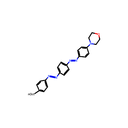 CCCCCCCCc1ccc(N=Nc2ccc(N=Nc3ccc(N4CCOCC4)cc3)cc2)cc1